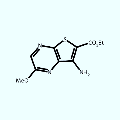 CCOC(=O)c1sc2ncc(OC)nc2c1N